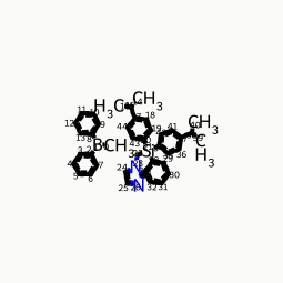 CB(c1ccccc1)c1ccccc1.CC(C)c1ccc([Si](Cn2ccnc2)(c2ccccc2)c2ccc(C(C)C)cc2)cc1